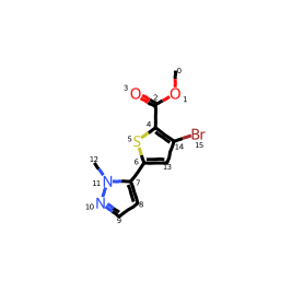 COC(=O)c1sc(-c2ccnn2C)cc1Br